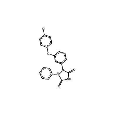 O=C1NC(=O)N(c2cccc(Oc3ccc(Cl)cc3)c2)[C@H]1c1ccccc1